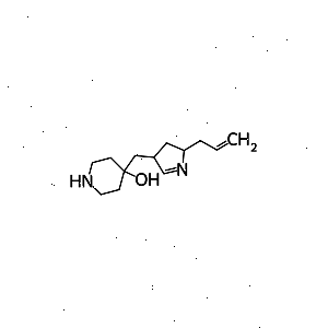 C=CCC1CC(CC2(O)CCNCC2)C=N1